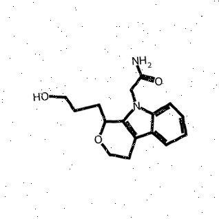 NC(=O)Cn1c2c(c3ccccc31)CCOC2CCCO